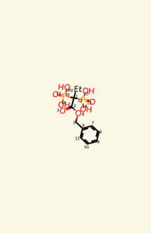 CCC(C(=O)OCc1ccccc1)(P(=O)(O)O)P(=O)(O)O